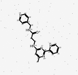 Cc1cc(NCCC(=O)NCc2ccncc2)nc(-c2ccccn2)n1